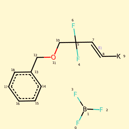 FB(F)F.FC(F)(/C=[CH]/[K])COCc1ccccc1